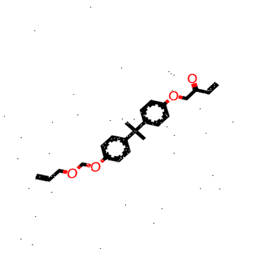 C=CCOCOc1ccc(C(C)(C)c2ccc(OCC(=O)C=C)cc2)cc1